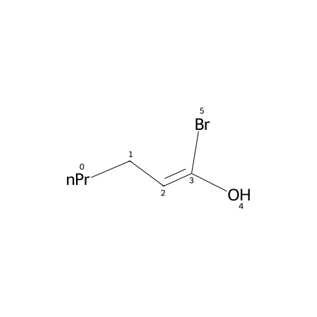 CCCCC=C(O)Br